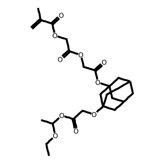 C=C(C)C(=O)OCC(=O)OCC(=O)OC12CC3CC(CC(OCC(=O)OC(C)OCC)(C3)C1)C2